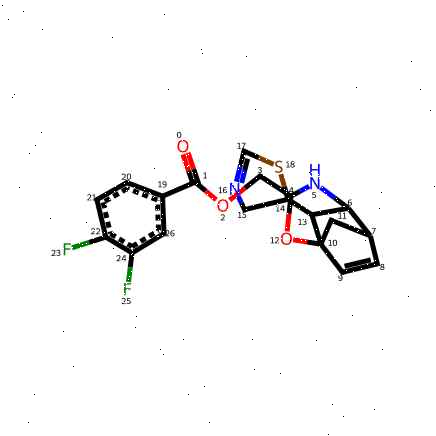 O=C(OCC1NC2C3C=CC(C3)(O1)C2C1CN=CS1)c1ccc(F)c(F)c1